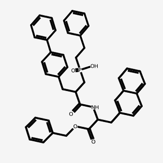 O=C(NC(Cc1ccc2ccccc2c1)C(=O)OCc1ccccc1)C(Cc1ccc(-c2ccccc2)cc1)CP(=O)(O)CCc1ccccc1